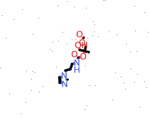 CC(CO)(COC=O)OC(=O)NCCCn1ccnc1